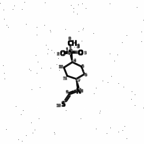 CS(=O)(=O)[C@H]1CC[C@@H](N=C=S)CC1